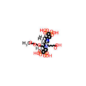 CCN1c2ccc3c(S(=O)(=O)O)cc(S(=O)(=O)O)cc3c2C(C)(C)C1C=CC=C1N(CCCCCC(=O)O)c2ccc3c(S(=O)(=O)O)cc(S(=O)(=O)O)cc3c2C1(C)CCOCCOCCOC